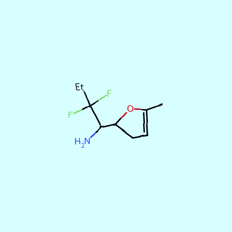 CCC(F)(F)C(N)C1CC=C(C)O1